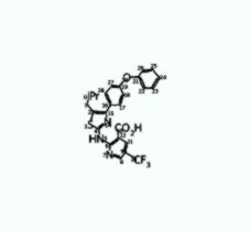 CC(C)Cc1sc(Nc2ncc(C(F)(F)F)cc2C(=O)O)nc1-c1ccc(Oc2ccccc2)cc1